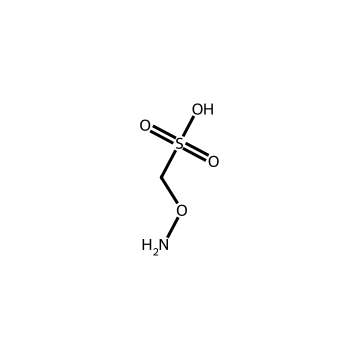 NOCS(=O)(=O)O